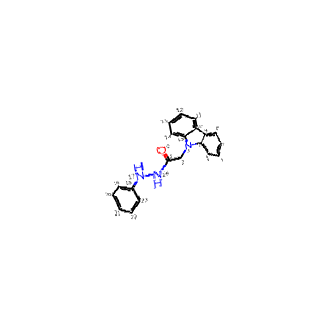 O=C(Cn1c2ccccc2c2ccccc21)NNc1ccccc1